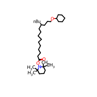 CCCCC(CCCCCCCCCC(=O)ON1C(C)(C)CCCC1(C)C)CCCOC1CCCCC1